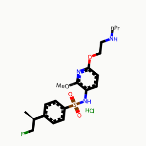 CCCNCCOc1ccc(NS(=O)(=O)c2ccc([C@H](C)CF)cc2)c(OC)n1.Cl